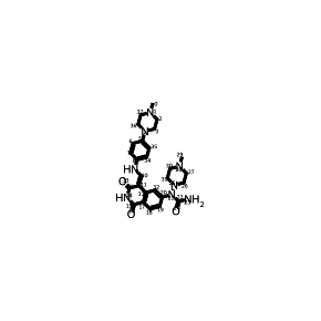 CN1CCN(c2ccc(NC=C3C(=O)NC(=O)c4ccc(N(C(N)=O)N5CCN(C)CC5)cc43)cc2)CC1